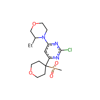 CCC1COCCN1c1cc(C2(S(C)(=O)=O)CCOCC2)nc(Cl)n1